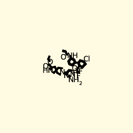 C=CC(=O)Nc1cccc(-c2cc(Cl)ccc2[C@@H](Oc2cc(N3CCC4(CC3)CNC(C(=O)OCC)C4)nc(N)n2)C(F)(F)F)c1